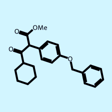 COC(=O)C(C(=O)C1CCCCC1)c1ccc(OCc2ccccc2)cc1